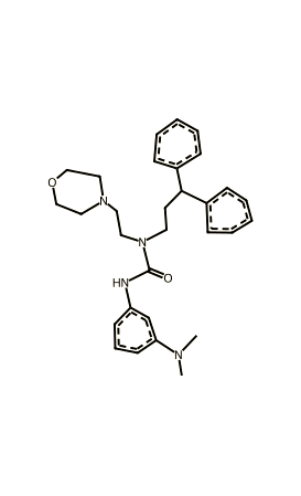 CN(C)c1cccc(NC(=O)N(CCC(c2ccccc2)c2ccccc2)CCN2CCOCC2)c1